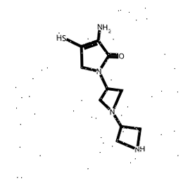 NC1=C(S)CN(C2CN(C3CNC3)C2)C1=O